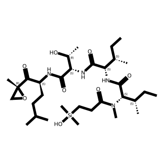 CC[C@H](C)[C@H](NC(=O)[C@H]([C@@H](C)CC)N(C)C(=O)CC[Si](C)(C)O)C(=O)N[C@H](C(=O)N[C@@H](CCC(C)C)C(=O)[C@@]1(C)CO1)[C@@H](C)O